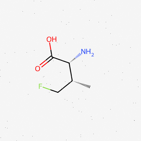 C[C@H](CF)[C@@H](N)C(=O)O